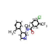 Cc1ccccc1-c1ccncc1N(C)C(=O)c1ccc(Cl)c(C(F)(F)F)c1